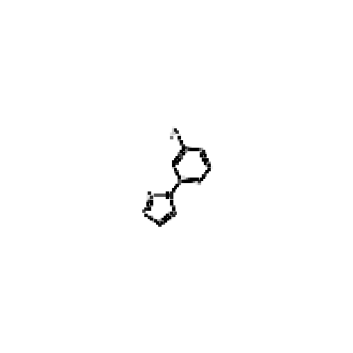 Nc1cccc(-n2ccnn2)c1